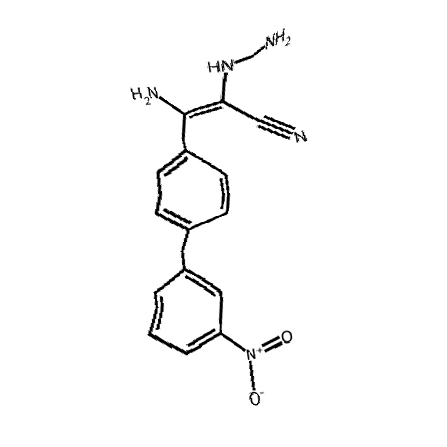 N#C/C(NN)=C(/N)c1ccc(-c2cccc([N+](=O)[O-])c2)cc1